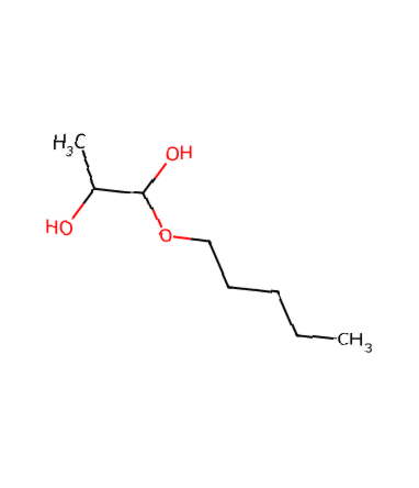 CCCCCOC(O)C(C)O